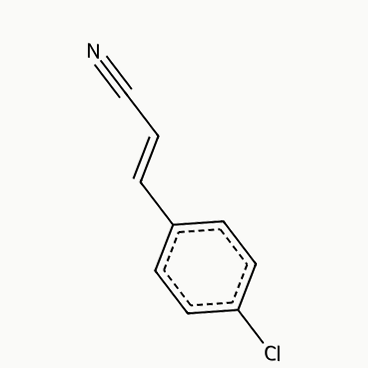 N#C/C=C/c1ccc(Cl)cc1